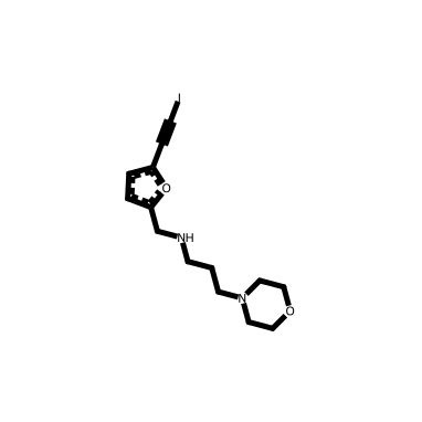 IC#Cc1ccc(CNCCCN2CCOCC2)o1